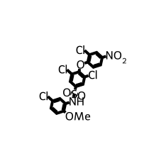 COc1ccc(Cl)cc1NS(=O)(=O)c1cc(Cl)c(Oc2ccc([N+](=O)[O-])cc2Cl)c(Cl)c1